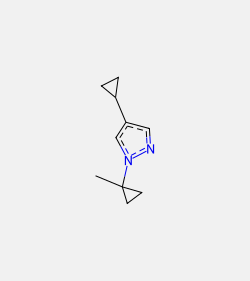 CC1(n2cc(C3CC3)cn2)CC1